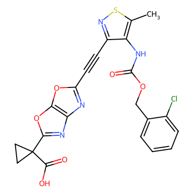 Cc1snc(C#Cc2nc3nc(C4(C(=O)O)CC4)oc3o2)c1NC(=O)OCc1ccccc1Cl